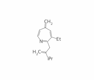 C=C1C=CN=C(CC(=C)C(C)C)C(CC)=C1